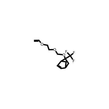 C=COCCOCOC1(C(F)(F)F)CC2C=CC1C2